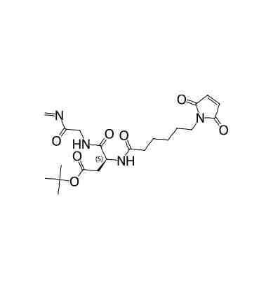 C=NC(=O)CNC(=O)[C@H](CC(=O)OC(C)(C)C)NC(=O)CCCCCN1C(=O)C=CC1=O